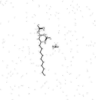 CCCCCCCCCCCCN(OC(C)=O)OC(C)=O.[Na].[Na]